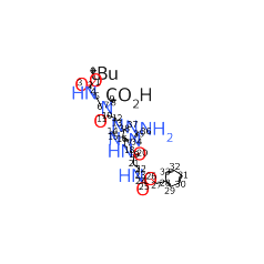 CC(C)(C)OC(=O)NCCN(CC(=O)O)C(=O)Cn1cnc2c(NC(=O)CCNC(=O)OCc3ccccc3)nc(N)nc21